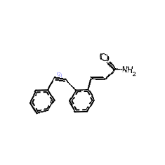 NC(=O)C=Cc1ccccc1/C=C\c1ccccc1